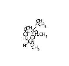 CCOc1cc2nc(CC)c(C#N)c(Nc3ccc(OC)cc3)c2cc1NC(=O)/C=C/CN(C)C